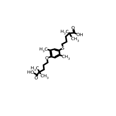 Cc1cc(SCCCC(C)(C)C(=O)O)c(C)cc1OCCCC(C)(C)C(=O)O